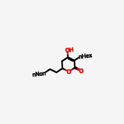 CCCCCCCCCCCC1CC(O)=C(CCCCCC)C(=O)O1